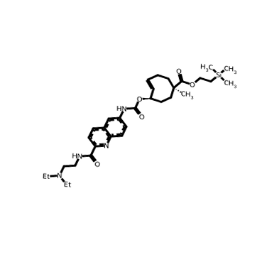 CCN(CC)CCNC(=O)c1ccc2cc(NC(=O)O[C@H]3/C=C/CC[C@@](C)(C(=O)OCC[Si](C)(C)C)CC3)ccc2n1